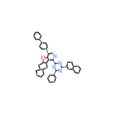 c1ccc(-c2ccc(-c3cnc(-c4nc(-c5ccccc5)nc(-c5ccc6ccccc6c5)n4)c4c3oc3cc5ccccc5cc34)cc2)cc1